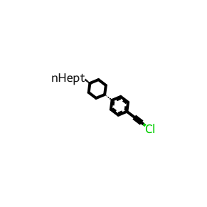 CCCCCCC[C@H]1CC[C@H](c2ccc(C#CCl)cc2)CC1